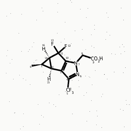 C[C@@H]1[C@@H]2c3c(C(F)(F)F)nn(CC(=O)O)c3C(F)(F)[C@H]12